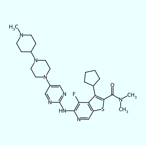 CN1CCC(N2CCN(c3cnc(Nc4ncc5sc(C(=O)N(C)C)c(C6CCCC6)c5c4F)nc3)CC2)CC1